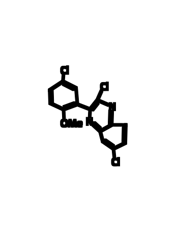 COc1ccc(Cl)cc1-c1nc2cc(Cl)ccc2nc1Cl